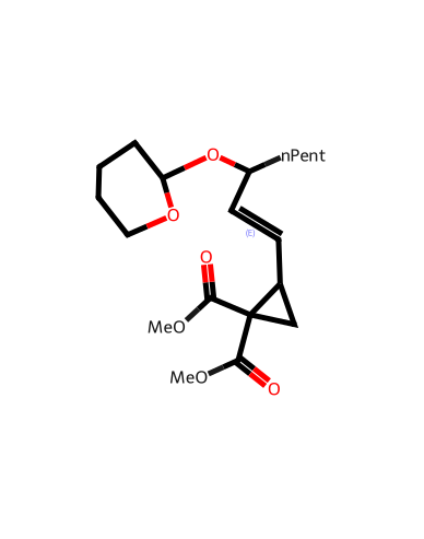 CCCCCC(/C=C/C1CC1(C(=O)OC)C(=O)OC)OC1CCCCO1